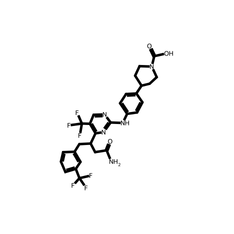 NC(=O)CC(Cc1cccc(C(F)(F)F)c1)c1nc(Nc2ccc(C3CCN(C(=O)O)CC3)cc2)ncc1C(F)(F)F